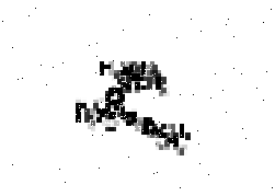 CC1(C)C(=O)N([C@H]2C[C@@H](N3CC4C(C3)C4(C)C)C2)c2cc(B3OC(C)(C)C(C)(C)O3)ccc21